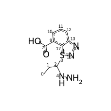 CCC(C)NN.O=C(O)c1cccc2nnsc12